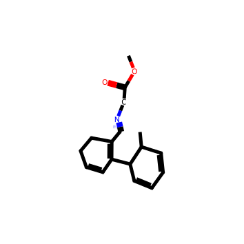 COC(=O)C/N=C/C1=C(C2C=CC=CC2C)C=CCC1